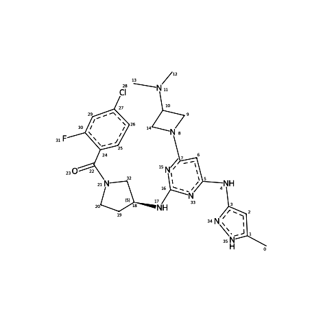 Cc1cc(Nc2cc(N3CC(N(C)C)C3)nc(N[C@H]3CCN(C(=O)c4ccc(Cl)cc4F)C3)n2)n[nH]1